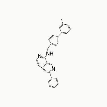 Cc1cccc(-c2ccc(CNc3nccc4cc(-c5ccccc5)ncc34)cc2)c1